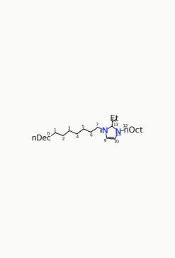 CCCCCCCCCCCCCCCCCN1C=CN(CCCCCCCC)C1CC